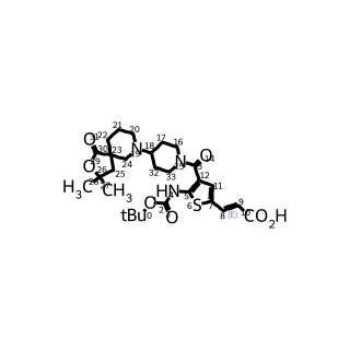 CC(C)(C)OC(=O)Nc1sc(/C=C/C(=O)O)cc1C(=O)N1CCC(N2CCCC3(C2)CC(C)(C)OC3=O)CC1